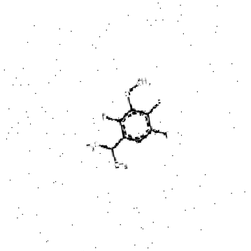 COc1c(F)c(F)cc(C(C)C)c1F